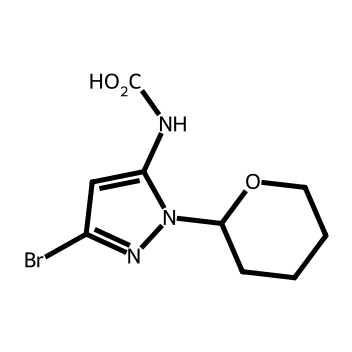 O=C(O)Nc1cc(Br)nn1C1CCCCO1